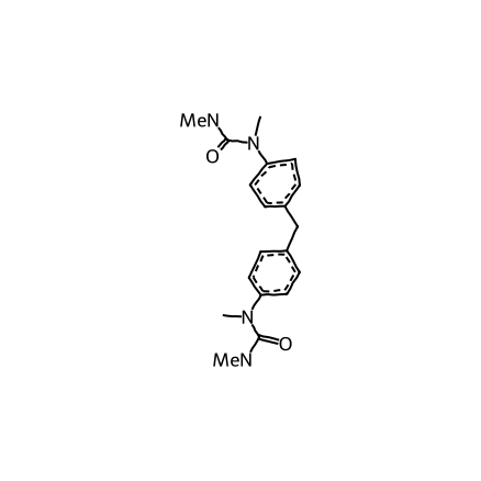 CNC(=O)N(C)c1ccc(Cc2ccc(N(C)C(=O)NC)cc2)cc1